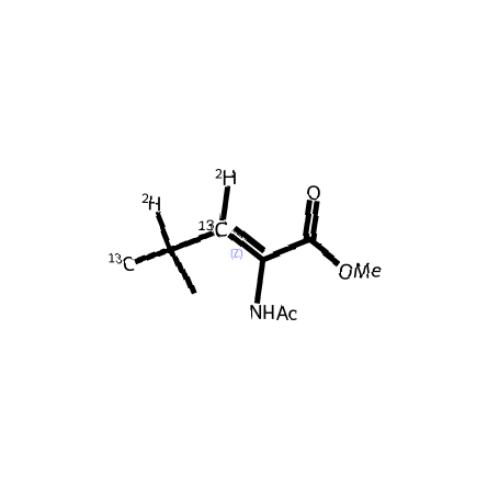 [2H]/[13C](=C(/[15NH]C(C)=O)C(=O)OC)C([2H])(C)[13CH3]